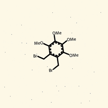 COc1c(CBr)c(CBr)c(OC)c(OC)c1OC